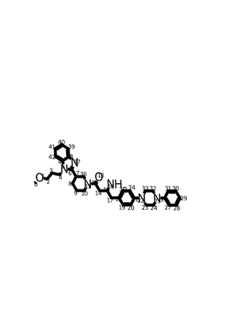 COCCCn1c(C2CCCN(C(=O)CC(N)Cc3ccc(N4CCN(c5ccccc5)CC4)cc3)C2)nc2ccccc21